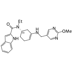 CCN(C(=O)c1cc2ccccc2[nH]1)[C@H]1CCC=C(NCc2cnc(OC)nc2)C1